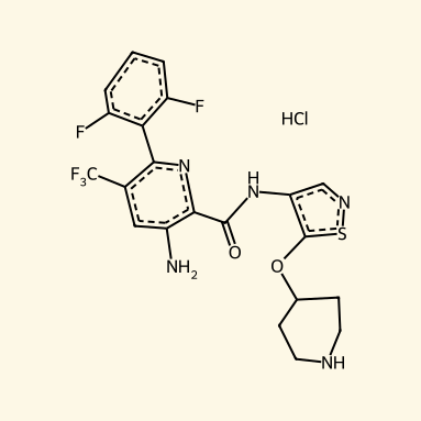 Cl.Nc1cc(C(F)(F)F)c(-c2c(F)cccc2F)nc1C(=O)Nc1cnsc1OC1CCNCC1